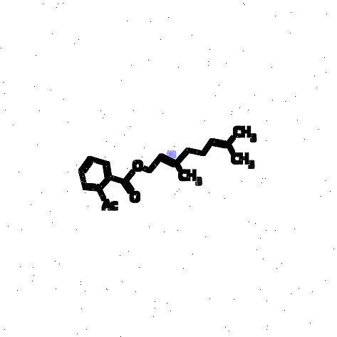 CC(=O)c1ccccc1C(=O)OC/C=C(\C)CCC=C(C)C